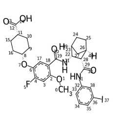 COc1cc(F)c(O[C@H]2CC[C@@H](C(=O)O)CC2)cc1C(=O)N[C@@H]1[C@H]2CC[C@H](C2)[C@@H]1C(=O)Nc1cccc(I)c1